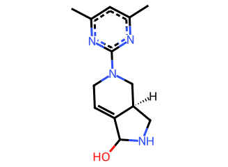 Cc1cc(C)nc(N2CC=C3C(O)NC[C@@H]3C2)n1